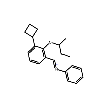 CCC(C)Oc1c(/C=N/c2ccccc2)cccc1C1CCC1